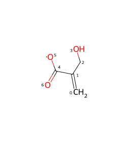 C=C(CO)C([O])=O